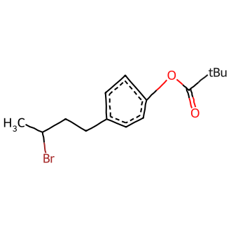 CC(Br)CCc1ccc(OC(=O)C(C)(C)C)cc1